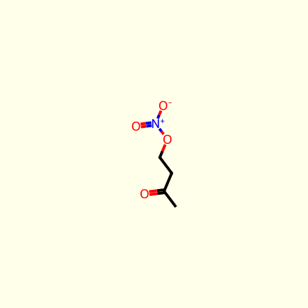 CC(=O)CCO[N+](=O)[O-]